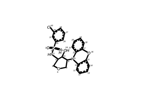 N=S(=O)(NC1COCC(N2c3ccccc3Oc3ccccc32)C1O)c1cccc(Cl)c1